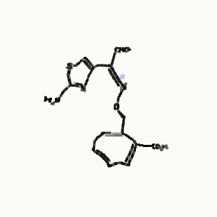 Nc1nc(/C([C]=O)=N\OCc2ccccc2C(=O)O)cs1